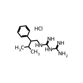 CC(C)C(CNC(=N)NC(=N)N)c1ccccc1.Cl